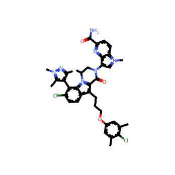 Cc1cc(OCCCc2c3n(c4c(-c5c(C)nn(C)c5C)c(Cl)ccc24)C(C)CN(c2cn(C)c4ccc(C(N)=O)nc24)C3=O)cc(C)c1Cl